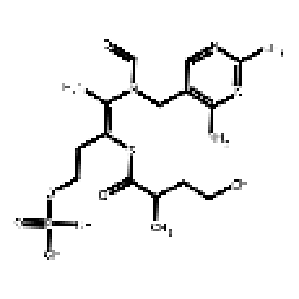 CCCC(C)C(=O)SC(CCOP(=O)(O)O)=C(C)N(C=O)Cc1cnc(C)nc1N